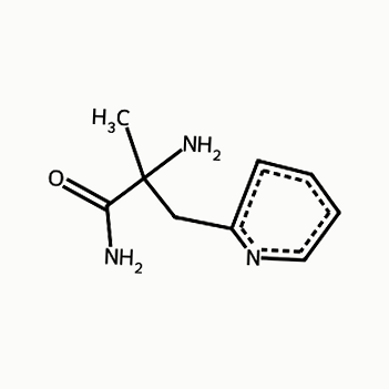 CC(N)(Cc1ccccn1)C(N)=O